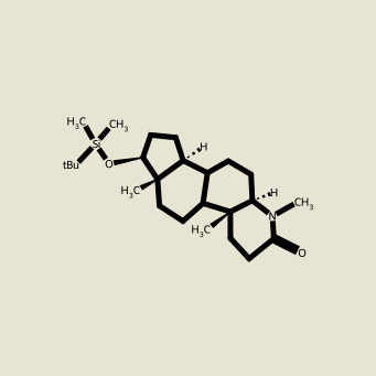 CN1C(=O)CC[C@]2(C)C3CC[C@]4(C)[C@@H](O[Si](C)(C)C(C)(C)C)CC[C@H]4C3CC[C@@H]12